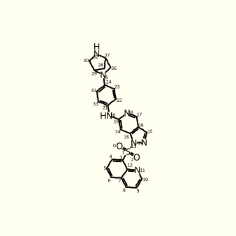 O=S(=O)(c1cccc2cccnc12)n1ncc2cnc(Nc3ccc(N4CC5CC4CN5)cc3)cc21